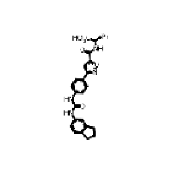 CC(C)C(NC(=O)c1cc(-c2ccc(NC(=O)Nc3ccc4c(c3)CCC4)cc2)no1)C(=O)O